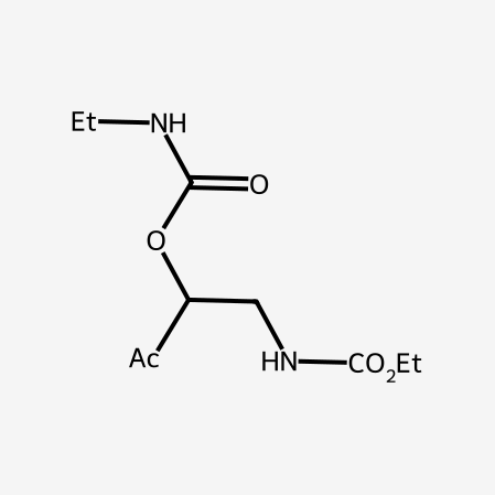 CCNC(=O)OC(CNC(=O)OCC)C(C)=O